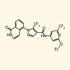 CCOc1cc(NC(=O)c2cnn(-c3cccc4c(=O)[nH]ccc34)c2C(F)(F)F)cc(C(F)(F)F)n1